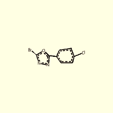 Clc1ccc(-c2nnc(Br)o2)cc1